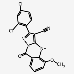 COc1cccc2c(=O)n3nc(-c4ccc(Cl)cc4Cl)c(C#N)c3[nH]c12